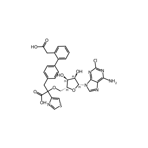 Nc1nc(Cl)nc2c1ncn2[C@@H]1O[C@H](COC(Cc2ccc(-c3ccccc3CC(=O)O)cc2)(C(=O)O)c2cscn2)[C@@H](O)[C@H]1O